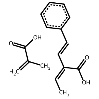 C=C(C)C(=O)O.CC=C(C=Cc1ccccc1)C(=O)O